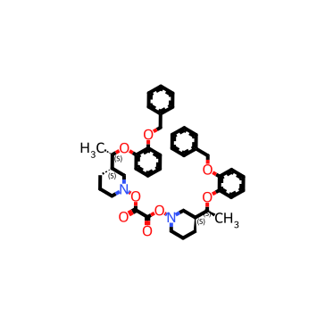 C[C@H](Oc1ccccc1OCc1ccccc1)[C@H]1CCCN(OC(=O)C(=O)ON2CCC[C@H]([C@H](C)Oc3ccccc3OCc3ccccc3)C2)C1